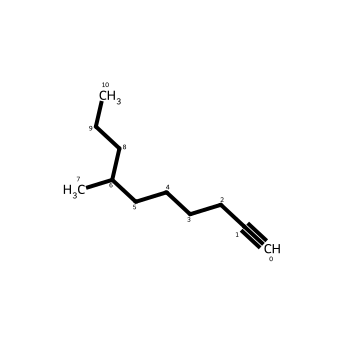 C#CCCCCC(C)CCC